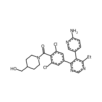 CCc1ncnc(-c2cc(Cl)c(C(=O)N3CCC(CO)CC3)c(Cl)c2)c1-c1ccc(N)nc1